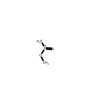 CO[PH](P)=S